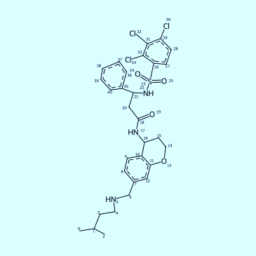 CC(C)CCNCc1ccc2c(c1)OCCC2NC(=O)CC(NS(=O)(=O)c1ccc(Cl)c(Cl)c1Cl)c1ccccc1